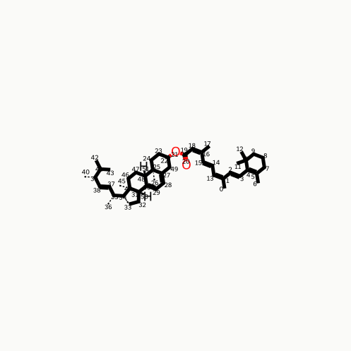 CC(C=CC1=C(C)CCCC1(C)C)=CC=CC(C)=CC(=O)OC1CC[C@@]2(C)C(=CC=C3[C@@H]4CC[C@H]([C@H](C)C=C[C@H](C)C(C)C)[C@@]4(C)CC[C@@H]32)C1